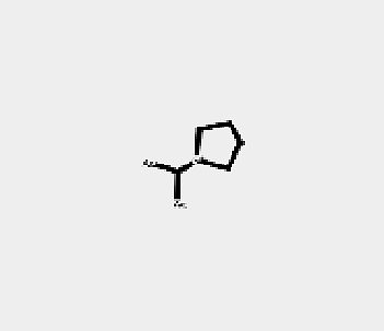 CC(=O)C(C(C)=O)[S+]1CCCC1